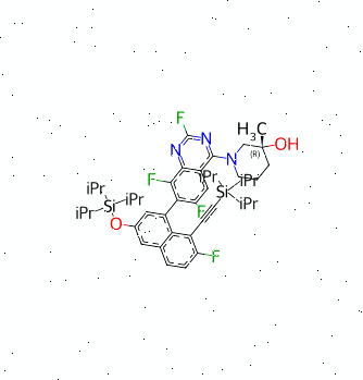 CC(C)[Si](C#Cc1c(F)ccc2cc(O[Si](C(C)C)(C(C)C)C(C)C)cc(-c3c(F)cc4c(N5CCC[C@@](C)(O)C5)nc(F)nc4c3F)c12)(C(C)C)C(C)C